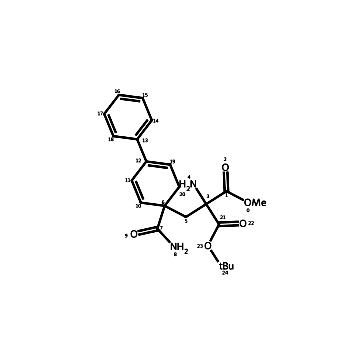 COC(=O)C(N)(CC1(C(N)=O)C=CC(c2ccccc2)=CC1)C(=O)OC(C)(C)C